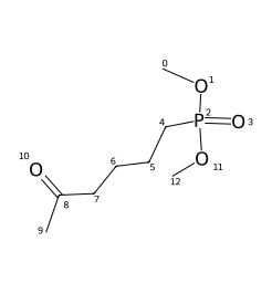 COP(=O)(CCCCC(C)=O)OC